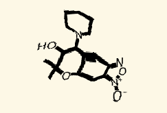 CC1(C)Oc2cc3c(cc2C(N2CCCCC2)C1O)no[n+]3[O-]